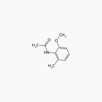 COc1cccc(C)c1NC(C)=O